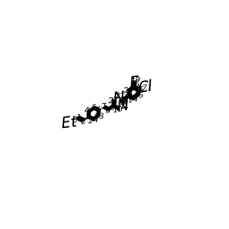 CCC=C[C@H]1CC[C@H](CCc2cnc(-c3ccc(Cl)c(F)c3)nc2)CC1